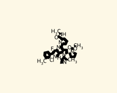 CNC(=O)c1cccc(-c2nc3c(F)c(-c4cccc(C)c4Cl)ncc3c3c2cc([C@H]2CCCN2C(=O)OC)n3[C@@H]2[C@@H](C)N3C[C@H]23)n1